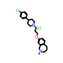 CN1CCCc2ccc(OCCCN3CCC(c4ccc(Cl)cc4)CC3)cc2C1.Cl